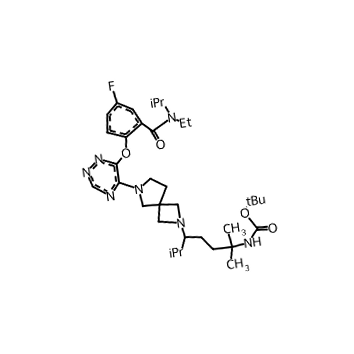 CCN(C(=O)c1cc(F)ccc1Oc1nncnc1N1CCC2(C1)CN(C(CCC(C)(C)NC(=O)OC(C)(C)C)C(C)C)C2)C(C)C